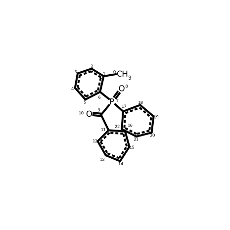 Cc1ccccc1P(=O)(C(=O)c1ccccc1)c1ccccc1